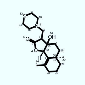 CC1=C2[C@@H]3OC(=O)C(CN4CCSCC4)C3(O)CC[C@@]2(C)CCC1